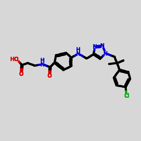 CC(C)(Cn1cc(CNc2ccc(C(=O)NCCC(=O)O)cc2)nn1)c1ccc(Cl)cc1